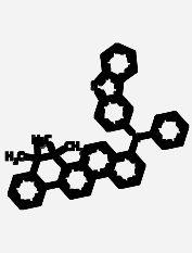 CC1(C)c2ccccc2-c2ccc3c(ccc4c(N(c5ccccc5)c5ccc6sc7ccccc7c6c5)cccc43)c2C1(C)C